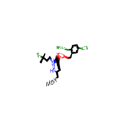 CNCC1C=C(OCc2cc(Cl)ccc2F)N(CCC(C)(C)F)N1